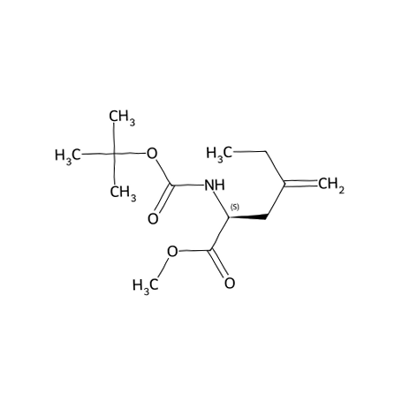 C=C(CC)C[C@H](NC(=O)OC(C)(C)C)C(=O)OC